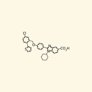 O=C(O)c1ccc2c(c1)nc(-c1ccc(OCc3cc(Cl)ccc3-c3cccs3)cc1)n2C1CCCCC1